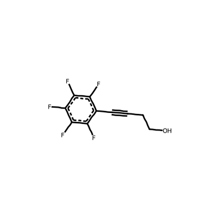 OCCC#Cc1c(F)c(F)c(F)c(F)c1F